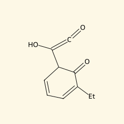 CCC1=CC=CC(C(O)=C=O)C1=O